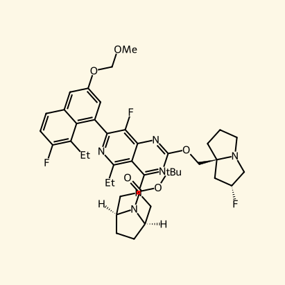 CCc1c(F)ccc2cc(OCOC)cc(-c3nc(CC)c4c(N5C[C@H]6CC[C@@H](C5)N6C(=O)OC(C)(C)C)nc(OC[C@@]56CCCN5C[C@H](F)C6)nc4c3F)c12